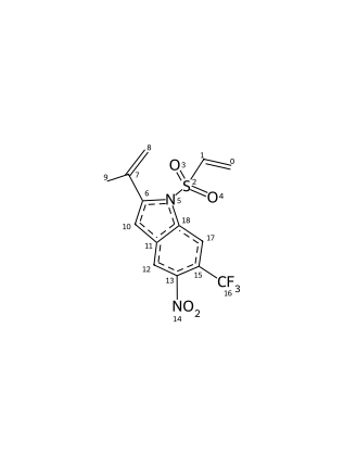 C=CS(=O)(=O)n1c(C(=C)C)cc2cc([N+](=O)[O-])c(C(F)(F)F)cc21